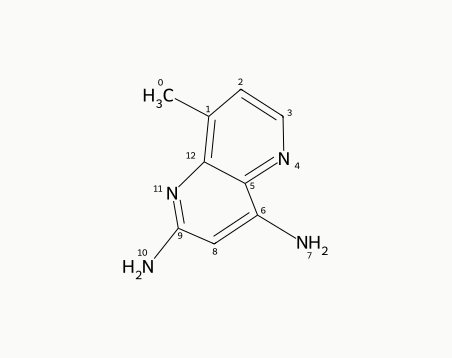 Cc1ccnc2c(N)cc(N)nc12